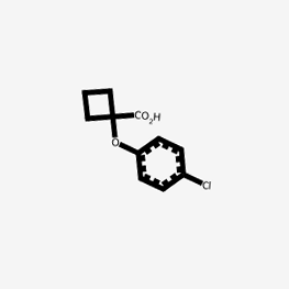 O=C(O)C1(Oc2ccc(Cl)cc2)CCC1